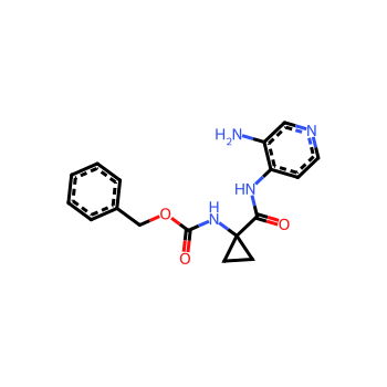 Nc1cnccc1NC(=O)C1(NC(=O)OCc2ccccc2)CC1